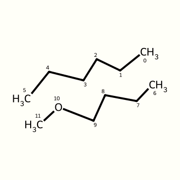 CCCCCC.CCCCOC